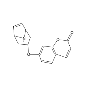 CN1C2C=CC1CC(Oc1ccc3ccc(=O)oc3c1)C2